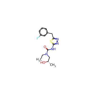 CCN(C[C@H](C)O)C(=O)Nc1nnc(Cc2cccc(F)c2)s1